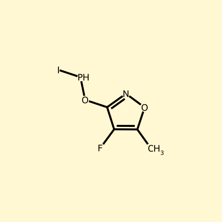 Cc1onc(OPI)c1F